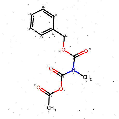 CC(=O)OC(=O)N(C)C(=O)OCc1ccccc1